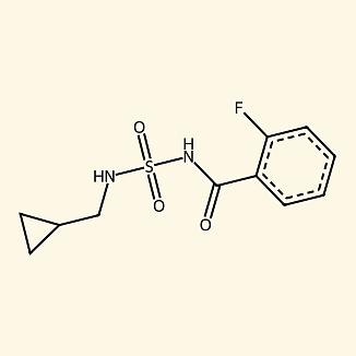 O=C(NS(=O)(=O)NCC1CC1)c1ccccc1F